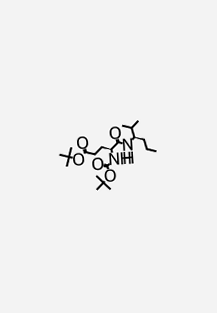 CCC[C@@H](NC(=O)[C@H](CCC(=O)OC(C)(C)C)NC(=O)OC(C)(C)C)C(C)C